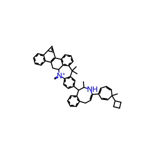 C=[N+]1c2ccc(C3c4ccccc4C/C=C(/C4=CC=CC(C)(C5CCC5)C=C4)NC3C)cc2C(C)(C)c2cccc3c2C1CC1=C3C2=CC2c2ccccc21